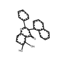 O=c1c(-c2cccc3ccccc23)c(-c2ccccc2)oc2ccc(O)c(O)c12